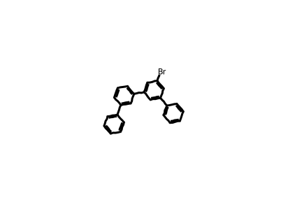 Brc1cc(-c2ccccc2)cc(-c2cccc(-c3ccccc3)c2)c1